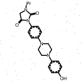 CC(C)N1CC(=O)N(c2ccc(N3CCN(c4ccc(O)cc4)CC3)cc2)C1=O